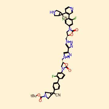 CC(C)(C)OC(=O)N1CC2C(C1)C2(C#N)c1ccc(-c2ccc(N3C[C@H](Cn4cc(-c5cn(C[C@H]6CN(c7cc(F)c(-c8cnccc8C8(C#N)C9CNCC98)c(F)c7)C(=O)O6)nn5)nn4)OC3=O)cc2F)cc1